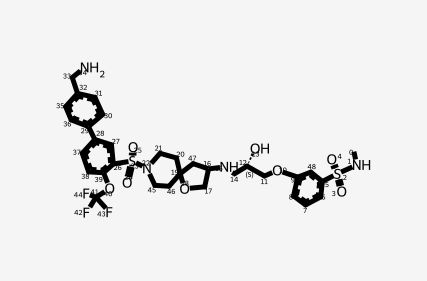 CNS(=O)(=O)c1cccc(OC[C@@H](O)CNC2COC3(CCN(S(=O)(=O)c4cc(-c5ccc(CN)cc5)ccc4OC(F)(F)F)CC3)C2)c1